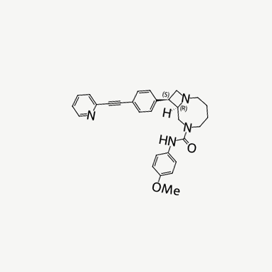 COc1ccc(NC(=O)N2CCCCN3C[C@H](c4ccc(C#Cc5ccccn5)cc4)[C@@H]3C2)cc1